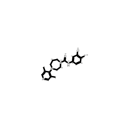 Cc1cncc(C)c1N1CCCN(C(=O)Nc2ccc(F)c(Cl)c2)CC1